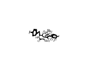 CC(C)(C)OC(=O)NC(Cc1ccc(F)cc1)C(CC(Cc1ccc(F)cc1)C(=O)O)O[Si](C)(C)C(C)(C)C